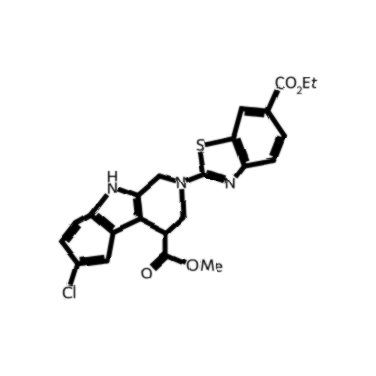 CCOC(=O)c1ccc2nc(N3Cc4[nH]c5ccc(Cl)cc5c4C(C(=O)OC)C3)sc2c1